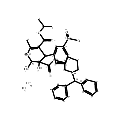 CC1=C(C(=O)OC(C)C)C(c2cccc([N+](=O)[O-])c2)C(O)(C(=O)OC2CCCN(C(c3ccccc3)c3ccccc3)C2)C(N)N1.Cl.Cl